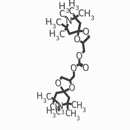 CN1C(C)(C)CC2(CC1(C)C)OCC(COC(=O)OCC1COC3(CC(C)(C)N(C)C(C)(C)C3)O1)O2